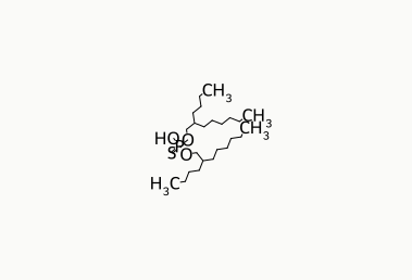 CCCCCCC(CCCC)COP(O)(=S)OCC(CCCC)CCCCCC